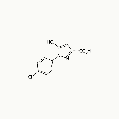 O=C(O)c1cc(O)n(-c2ccc(Cl)cc2)n1